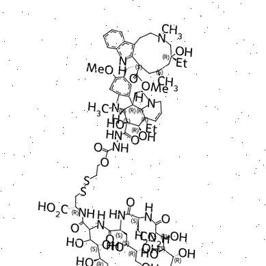 CC[C@@]1(O)C[C@@H](C)C[C@@](Cc2cc3c(cc2OC)N(C)[C@H]2[C@@](O)(C(=O)NNC(=O)OCCSSC[C@H](NC(=O)C(NC(=O)[C@H](C[C@H](O)[C@H](O)CO)NC(=O)[C@H](CC(=O)O)NC(=O)C(N)[C@@H](O)[C@H](O)[C@H](O)CO)C(O)[C@H](O)[C@H](O)CO)C(=O)O)[C@H](O)[C@]4(CC)C=CCN5CC[C@]32[C@@H]54)(C(=O)OC)c2[nH]c3ccccc3c2CCN(C)C1